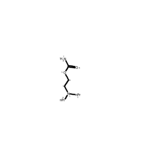 CCCN(CCC)CCOC(N)=O